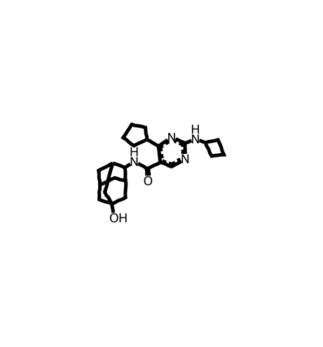 O=C(NC1C2CC3CC1CC(O)(C3)C2)c1cnc(NC2CCC2)nc1C1CCCC1